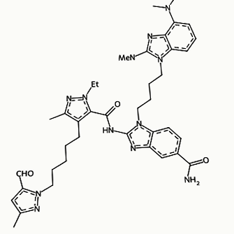 CCn1nc(C)c(CCCCCn2nc(C)cc2C=O)c1C(=O)Nc1nc2cc(C(N)=O)ccc2n1CCCCn1c(NC)nc2c(N(C)C)cccc21